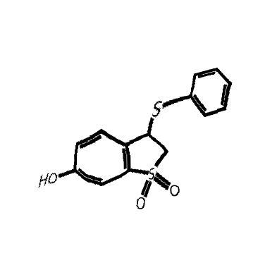 O=S1(=O)CC(Sc2ccccc2)c2ccc(O)cc21